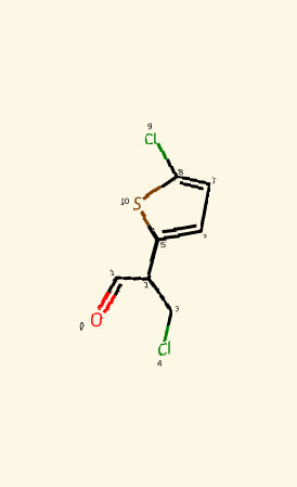 O=CC(CCl)c1ccc(Cl)s1